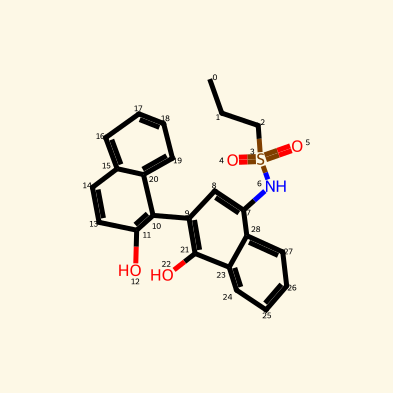 CCCS(=O)(=O)Nc1cc(-c2c(O)ccc3ccccc23)c(O)c2ccccc12